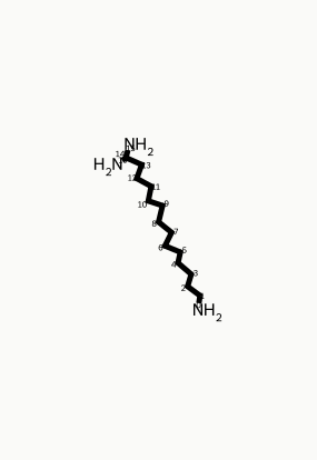 NCCCCCCCCCCCCCC(N)N